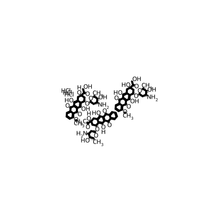 CC(=O)[C@]1(O)Cc2c(O)c3c(c(O)c2[C@@H](O[C@H]2C[C@H](N)[C@H](O)[C@H](C)O2)C1)C(=O)c1ccccc1C3=O.COc1cccc2c1C(=O)c1c(O)c3c(c(O)c1C2=O)C[C@@](O)(C(=O)CO)C[C@@H]3O[C@H]1C[C@H](N)[C@@H](O)[C@H](C)O1.COc1cccc2c1C(=O)c1c(O)c3c(c(O)c1C2=O)C[C@@](O)(C(=O)CO)C[C@@H]3O[C@H]1C[C@H](N)[C@H](O)[C@H](C)O1.Cl.Cl.Cl